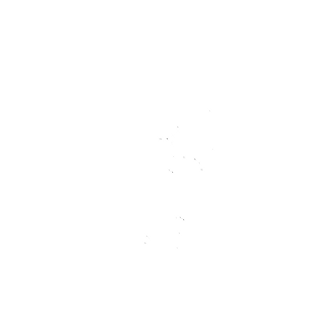 CN(CCNC(=O)OC(C)(C)C)c1ncc(C(=O)O)cn1